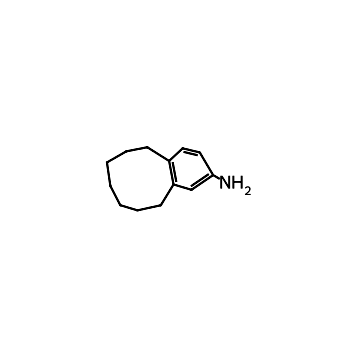 Nc1ccc2c(c1)CCCCCCC2